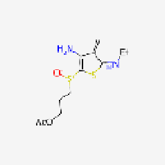 C=C1C(N)=C([S+]([O-])CCCOC(C)=O)S/C1=N/CC